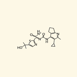 Cc1nc2c(c(NC(=O)N=S(N)(=O)c3ncc(C(C)(C)O)s3)c1C1CC1)CCC2